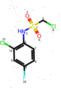 O=S(=O)(CCl)Nc1ccc(F)cc1Cl